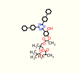 C=C(C)C(=O)OCC(C)(COC(=O)C(=C)C)COC(=O)C(C)Oc1ccc(-c2nc(-c3ccc(-c4ccccc4)cc3)nc(-c3ccc(-c4ccccc4)cc3)n2)c(O)c1